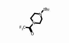 CC(C)(C)N1CCN(C(=O)C(F)(F)F)CC1